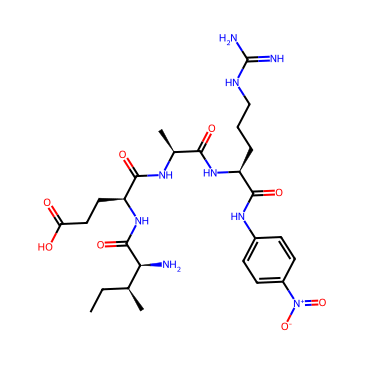 CC[C@H](C)[C@H](N)C(=O)N[C@@H](CCC(=O)O)C(=O)N[C@@H](C)C(=O)N[C@@H](CCCNC(=N)N)C(=O)Nc1ccc([N+](=O)[O-])cc1